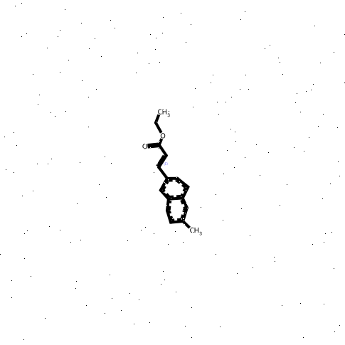 CCOC(=O)/C=C/c1ccc2cc(C)ccc2c1